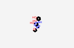 Oc1nc(Nc2cccc(O)c2O)c2ncn(C3CCCO3)c2n1